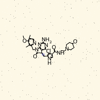 COc1c(C)cnc(CN2C(=O)/C(=C/c3cc(C(=O)NCCN4CCC(=O)CC4)c[nH]3)c3c(Cl)nc(N)nc32)c1C